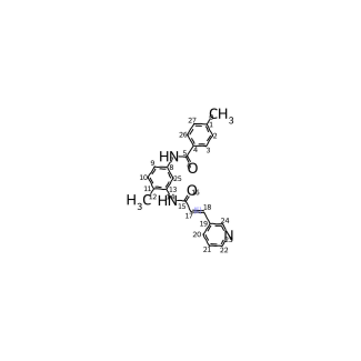 Cc1ccc(C(=O)Nc2ccc(C)c(NC(=O)/C=C/c3cccnc3)c2)cc1